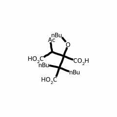 CCCCOC(C(=O)O)(C(C(C)=O)C(=O)O)C(CCCC)(CCCC)C(=O)O